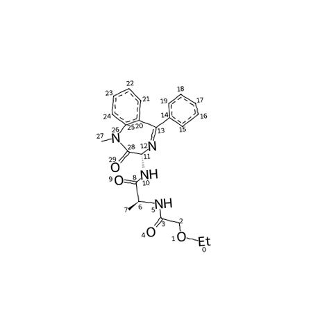 CCOCC(=O)N[C@@H](C)C(=O)N[C@H]1N=C(c2ccccc2)c2ccccc2N(C)C1=O